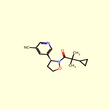 CC(C)(C(=O)N1OCC[C@H]1c1cncc(C#N)c1)C1CC1